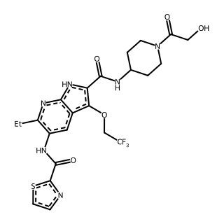 CCc1nc2[nH]c(C(=O)NC3CCN(C(=O)CO)CC3)c(OCC(F)(F)F)c2cc1NC(=O)c1nccs1